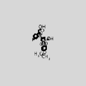 CC(C)Oc1ccc(S(=O)(=O)N2C[C@H](n3nc(CC(=O)O)c4ccc(F)cc43)C[C@@H]2CO)cc1